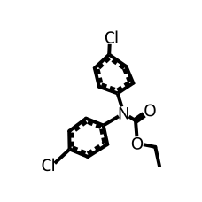 CCOC(=O)N(c1ccc(Cl)cc1)c1ccc(Cl)cc1